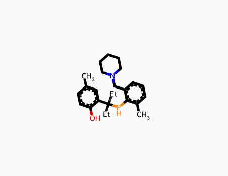 CCC(CC)(Pc1c(C)cccc1CN1CCCCC1)c1cc(C)ccc1O